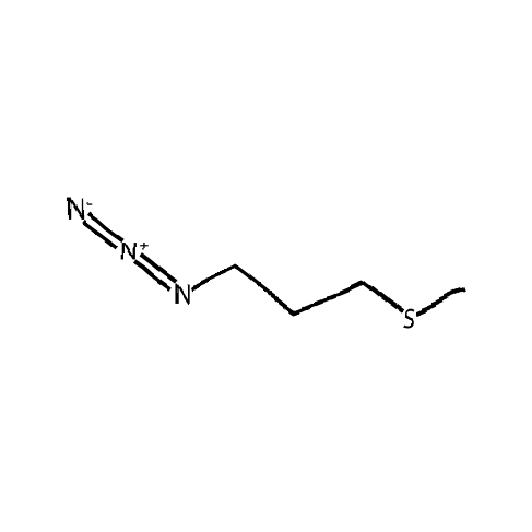 CSCCCN=[N+]=[N-]